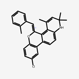 CC1=CC(C)(C)Nc2ccc3c(c21)/C(=C/c1ccccc1C)Oc1ccc(Cl)cc1-3